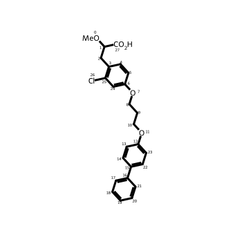 COC(Cc1ccc(OCCCOc2ccc(-c3ccccc3)cc2)cc1Cl)C(=O)O